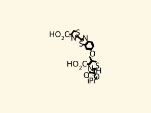 CC(C)O[C@H]1C(=O)N2C(C(=O)O)=C(COc3ccc4nc(C5=N[C@@H](C(=O)O)CS5)sc4c3)CS[C@H]12